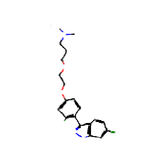 CN(CCCOCCOc1ccc(-c2n[nH]c3cc(Br)ccc23)c(F)c1)C(=O)O